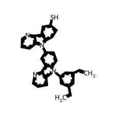 C=Cc1cc(C=C)cc(-n2c3ccc(-n4c5ccc(S)cc5c5ncccc54)cc3c3ncccc32)c1